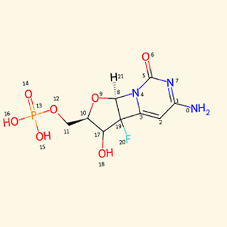 Nc1cc2n(c(=O)n1)[C@@H]1O[C@H](COP(=O)(O)O)C(O)C21F